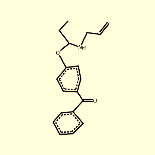 C=CCNC(CC)Oc1ccc(C(=O)c2ccccc2)cc1